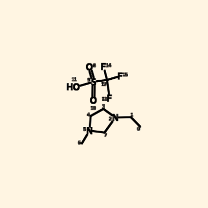 CCN1CCN(C)C1.O=S(=O)(O)C(F)(F)F